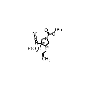 C=CC[C@H]1CN(C(=O)OC(C)(C)C)C[C@@]1(N=[N+]=[N-])C(=O)OCC